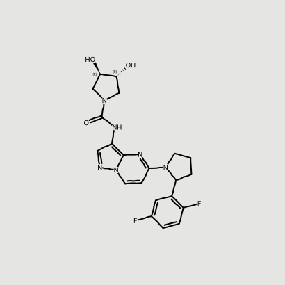 O=C(Nc1cnn2ccc(N3CCCC3c3cc(F)ccc3F)nc12)N1C[C@@H](O)[C@H](O)C1